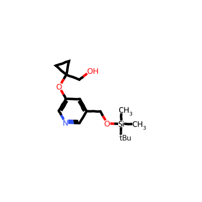 CC(C)(C)[Si](C)(C)OCc1cncc(OC2(CO)CC2)c1